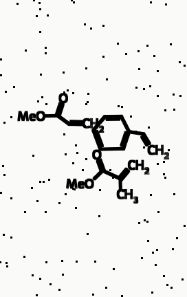 C=C(C)C(=O)OC.C=CC(=O)OC.C=Cc1ccccc1